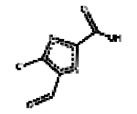 O=Cc1sc(C(=O)O)nc1Cl